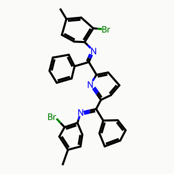 Cc1ccc(/N=C(\c2ccccc2)c2cccc(/C(=N/c3ccc(C)cc3Br)c3ccccc3)n2)c(Br)c1